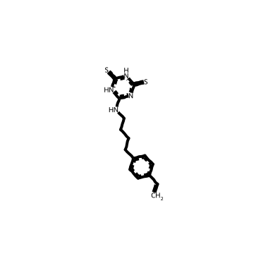 C=Cc1ccc(CCCCNc2nc(=S)[nH]c(=S)[nH]2)cc1